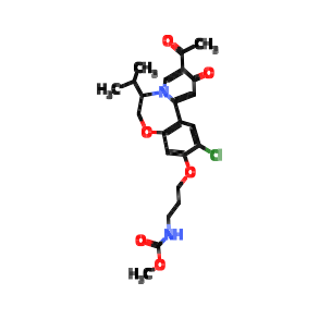 COC(=O)NCCCOc1cc2c(cc1Cl)-c1cc(=O)c(C(C)=O)cn1C(C(C)C)CO2